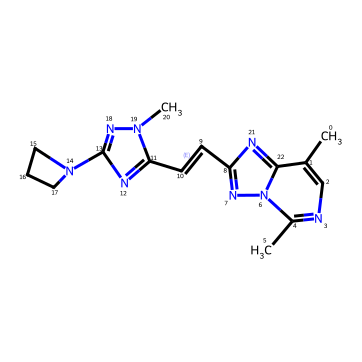 Cc1cnc(C)n2nc(/C=C/c3nc(N4CCC4)nn3C)nc12